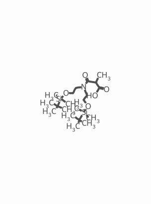 CC(C(=O)O)C(=O)N(CCO[Si](C)(C)C(C)(C)C)CCO[Si](C)(C)C(C)(C)C